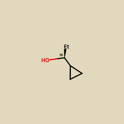 CC[C@H](O)C1CC1